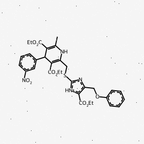 CCOC(=O)C1=C(C)NC(CSc2nc(COc3ccccc3)c(C(=O)OCC)[nH]2)=C(C(=O)OCC)C1c1cccc([N+](=O)[O-])c1